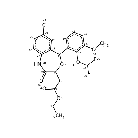 CCOC(=O)CC1OC(c2cccc(OC)c2OC(F)F)c2cc(Cl)ccc2NC1=O